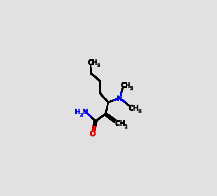 C=C(C(N)=O)C(CCCC)N(C)C